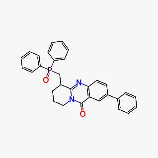 O=c1c2cc(-c3ccccc3)ccc2nc2n1CCCC2CP(=O)(c1ccccc1)c1ccccc1